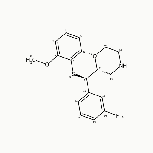 COc1ccccc1S[C@H](c1cccc(F)c1)[C@H]1CNCCO1